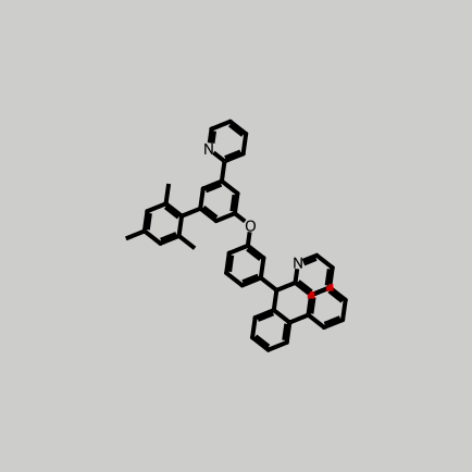 Cc1cc(C)c(-c2cc(Oc3cccc(C(c4ccccn4)c4ccccc4-c4ccccc4)c3)cc(-c3ccccn3)c2)c(C)c1